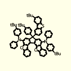 CC(C)(C)c1ccc(N(c2ccccc2)c2cc3c(c4c2oc2ccccc24)-c2c(cc(N(c4ccccc4)c4ccc(C(C)(C)C)cc4)c4c2oc2ccccc24)C3(c2ccc(C(C)(C)C)cc2)c2ccc3sc4ccc(C(C)(C)C)cc4c3c2)cc1